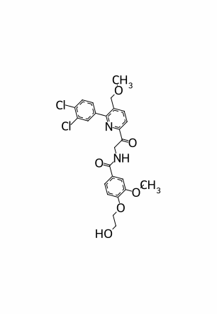 COCc1ccc(C(=O)CNC(=O)c2ccc(OCCO)c(OC)c2)nc1-c1ccc(Cl)c(Cl)c1